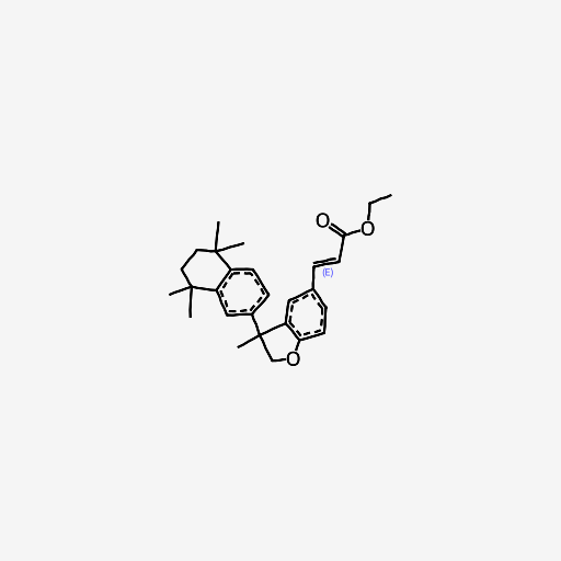 CCOC(=O)/C=C/c1ccc2c(c1)C(C)(c1ccc3c(c1)C(C)(C)CCC3(C)C)CO2